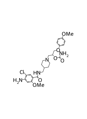 COc1ccc(OCC(CN2CCC(CNC(=O)c3cc(Cl)c(N)cc3OC)CC2)OC(N)=O)cc1